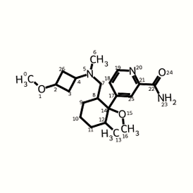 COC1CC(N(C)CC2CCCC(C)C2(OC)c2ccnc(C(N)=O)c2)C1